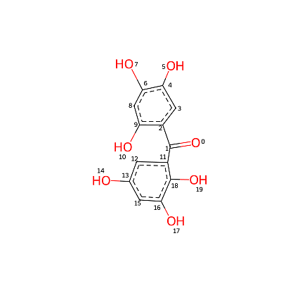 O=C(c1cc(O)c(O)cc1O)c1cc(O)cc(O)c1O